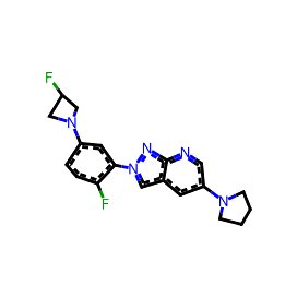 Fc1ccc(N2CC(F)C2)cc1-n1cc2cc(N3CCCC3)cnc2n1